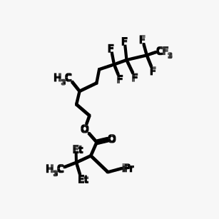 CCC(C)(CC)C(CC(C)C)C(=O)OCCC(C)CCC(F)(F)C(F)(F)C(F)(F)C(F)(F)F